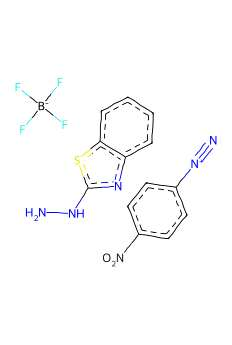 F[B-](F)(F)F.N#[N+]c1ccc([N+](=O)[O-])cc1.NNc1nc2ccccc2s1